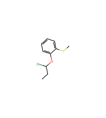 CCC(Cl)Oc1ccccc1SC